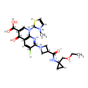 CCOCC1(NC(=O)C2CN(c3nc4c(cc3F)c(=O)c(C(=O)O)cn4[C@H]3SC=CN3C)C2)CC1